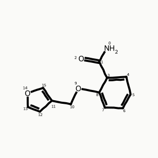 NC(=O)c1ccccc1OCc1ccoc1